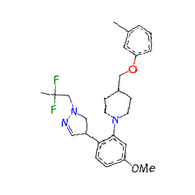 COc1ccc(C2C=NN(CC(C)(F)F)C2)c(N2CCC(COc3cccc(C)c3)CC2)c1